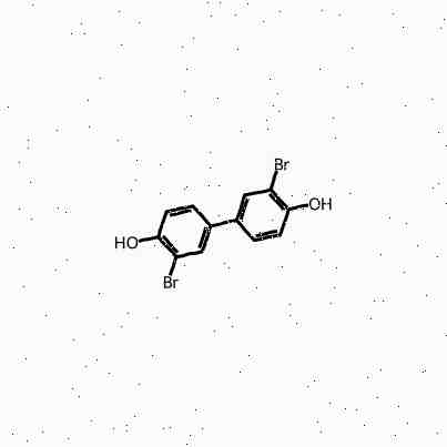 Oc1ccc(-c2ccc(O)c(Br)c2)cc1Br